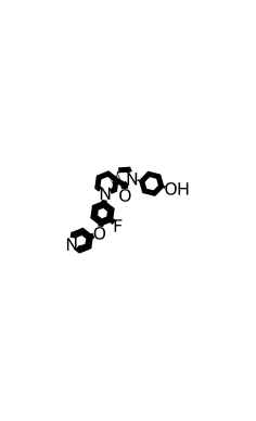 O=C1N([C@H]2CC[C@H](O)CC2)CC[C@]12CCCN(c1ccc(Oc3ccncc3)c(F)c1)C2